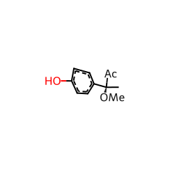 CO[C@](C)(C(C)=O)c1ccc(O)cc1